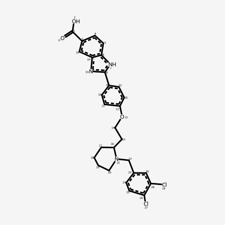 O=C(O)c1ccc2[nH]c(-c3ccc(OCCC4CCCCN4Cc4ccc(Cl)c(Cl)c4)cc3)nc2c1